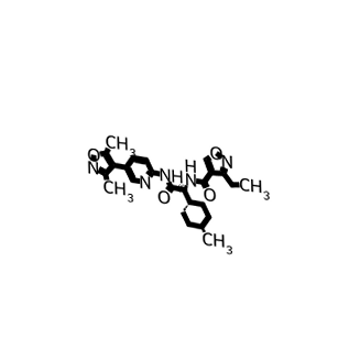 CCc1nocc1C(=O)N[C@H](C(=O)Nc1ccc(-c2c(C)noc2C)cn1)[C@H]1CC[C@H](C)CC1